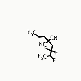 N#CC(C#N)(CCC(F)(F)F)CC(F)(F)C(F)C(F)(F)F